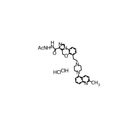 CC(=O)NNC(=O)c1ncn2c1COc1c(CCN3CCN(c4cccc5nc(C)ccc45)CC3)cccc1-2.Cl.Cl